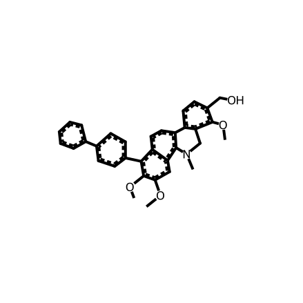 COc1cc2c3c(ccc2c(-c2ccc(-c4ccccc4)cc2)c1OC)-c1ccc(CO)c(OC)c1CN3C